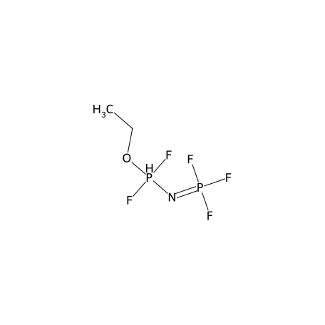 CCO[PH](F)(F)N=P(F)(F)F